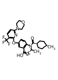 CC(C)N(c1ccc(Oc2nc(N3CCOCC3)ccc2C(F)(F)F)cc1C(=O)O)C(=O)[C@H]1CC[C@H](C)CC1